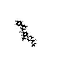 CC(C)(C)OC(=O)N1CCN(c2ccc(Nc3nccc(-c4ccc(F)cc4)n3)cc2C(F)(F)F)CC1